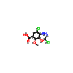 COc1c(C(=O)O)cc(Cl)c(N)c1OC(C)Cl